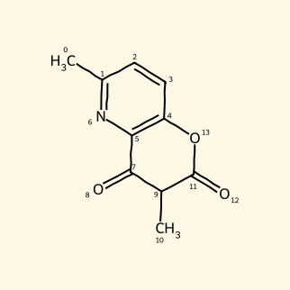 Cc1ccc2c(n1)C(=O)C(C)C(=O)O2